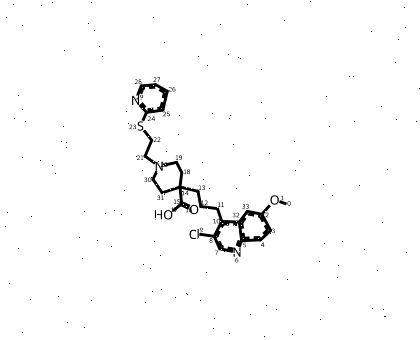 COc1ccc2ncc(Cl)c(CCCC3(C(=O)O)CCN(CCSc4ccccn4)CC3)c2c1